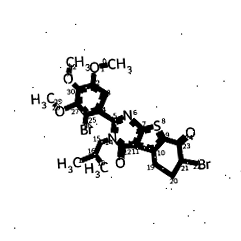 COc1cc(-c2nc3sc4c(c3c(=O)n2CC(C)C)CCC(Br)C4=O)c(Br)c(OC)c1OC